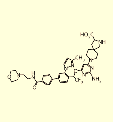 Cc1ccn(-c2cc(-c3ccc(C(=O)NCCN4CCOCC4)cc3)ccc2C(Oc2cc(N3CCC4(CC3)CNC(C(=O)O)C4)nc(N)n2)C(F)(F)F)n1